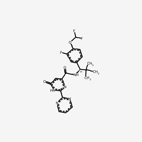 CC(C)(C)[C@@H](NC(=O)c1cc(=O)[nH]c(-c2ncccn2)n1)c1ccc(OC(F)F)c(F)c1